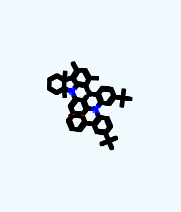 Cc1cc2c3c(c1)N1c4c(c(C)cc(C)c4C4(C)CCCCC14C)B3c1ccc(C(C)(C)C)cc1N2c1ccc(C(C)(C)C)cc1-c1ccccc1